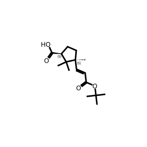 CC(C)(C)OC(=O)C=C[C@]1(C)CC[C@H](C(=O)O)C1(C)C